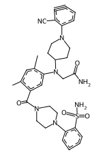 Cc1cc(C)c(N(CC(N)=O)C2CCN(c3ccc#cc3C#N)CC2)cc1C(=O)N1CCN(c2ccccc2S(N)(=O)=O)CC1